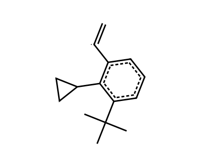 C=[C]c1cccc(C(C)(C)C)c1C1CC1